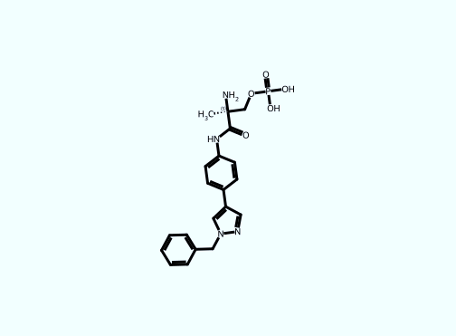 C[C@](N)(COP(=O)(O)O)C(=O)Nc1ccc(-c2cnn(Cc3ccccc3)c2)cc1